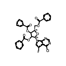 O=C(OC[C@H]1O[C@@H](n2cc(F)c3c(Cl)ncnc32)C(OC(=O)c2ccccc2)C1OC(=O)c1ccccc1)c1ccccc1